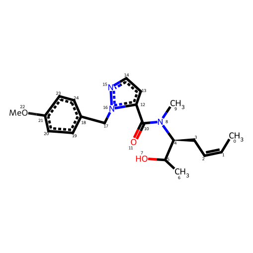 C/C=C\C[C@@H](C(C)O)N(C)C(=O)c1ccnn1Cc1ccc(OC)cc1